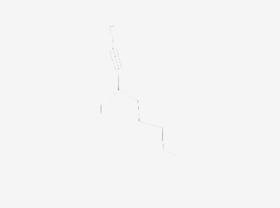 CCCCCC(F)C#CF